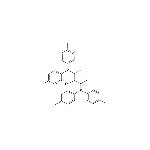 CCC(C(C)P(c1ccc(C)cc1)c1ccc(C)cc1)C(C)P(c1ccc(C)cc1)c1ccc(C)cc1